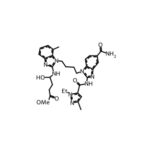 CCn1nc(C)cc1C(=O)Nc1nc2cc(C(N)=O)ccc2n1CCCCn1c(NC(O)CCC(=O)OC)nc2cccc(C)c21